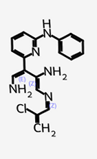 C=C(Cl)\C=N/C=C(N)/C(=C\N)c1cccc(Nc2ccccc2)n1